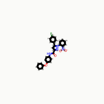 O=C(Nc1ccc(Oc2ccccc2)cc1)c1cc(-c2ccc(F)cc2)n(-c2ccccc2[N+](=O)[O-])n1